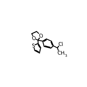 CC(Cl)c1ccc(C2(c3cccs3)OCCO2)cc1